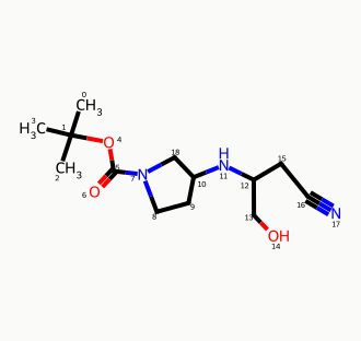 CC(C)(C)OC(=O)N1CCC(NC(CO)CC#N)C1